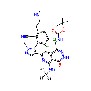 [2H]C([2H])([2H])Nc1nc(-c2cnn(C)c2-c2c(F)c(Cl)cc(CCNC)c2C#N)cc2c(CNC(=O)OC(C)(C)C)n[nH]c(=O)c12